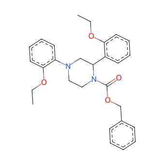 CCOc1ccccc1C1CN(c2ccccc2OCC)CCN1C(=O)OCc1ccccc1